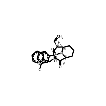 C=C[C@@H]1CN(Cc2ccccn2)C(=O)[C@@H]2CCC[C@H]1N2S(=O)(=O)c1cccc(Cl)c1